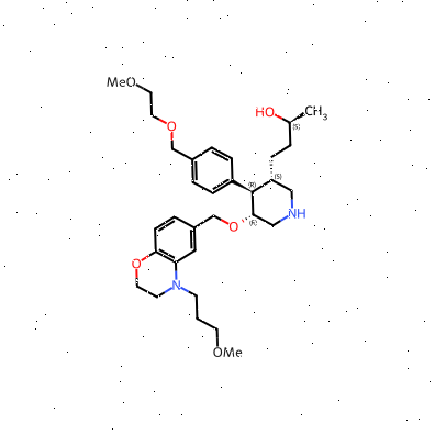 COCCCN1CCOc2ccc(CO[C@H]3CNC[C@@H](CC[C@H](C)O)[C@@H]3c3ccc(COCCOC)cc3)cc21